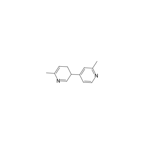 CC1=CCC(c2ccnc(C)c2)C=N1